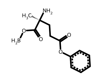 BOC(=O)[C@@](C)(N)CCC(=O)Oc1ccccc1